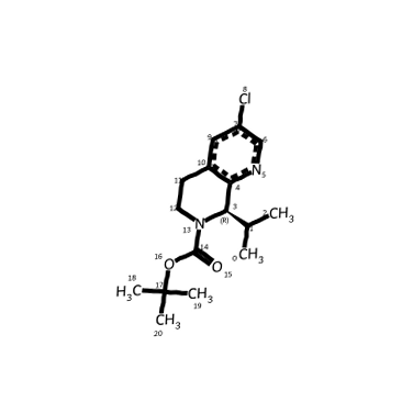 CC(C)[C@@H]1c2ncc(Cl)cc2CCN1C(=O)OC(C)(C)C